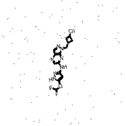 N#CC1CC(Cn2ncc3ncc(Nc4cc(OC(F)F)[nH]n4)nc32)C1